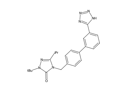 CC(C)c1nn(C(C)(C)C)c(=O)n1Cc1ccc(-c2cccc(-c3nnn[nH]3)c2)cc1